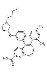 Cc1ccc(C2=C(c3cccc(OC4CCN(CCCF)C4)c3)c3ccc(C(=O)O)cc3CCC2)c(C)c1